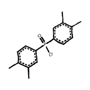 Cc1ccc(P(=O)(Cl)c2ccc(C)c(C)c2)cc1C